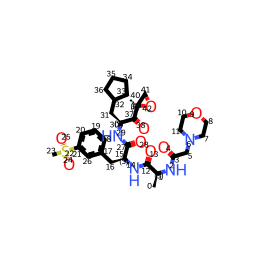 C[C@H](NC(=O)CN1CCOCC1)C(=O)N[C@@H](Cc1cccc(S(C)(=O)=O)c1)C(=O)N[C@@H](CC1CCCC1)C(=O)[C@@]1(C)CO1